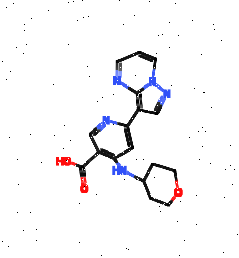 O=C(O)c1cnc(-c2cnn3cccnc23)cc1NC1CCOCC1